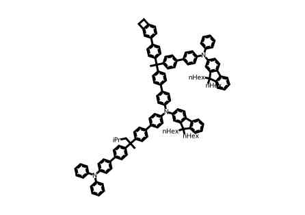 CCCCCCC1(CCCCCC)c2ccccc2-c2ccc(N(c3ccccc3)c3ccc(-c4ccc(C(C)(c5ccc(-c6ccc(N(c7ccc(-c8ccc(C(C)(CC(C)C)c9ccc(-c%10ccc(N(c%11ccccc%11)c%11ccccc%11)cc%10)cc9)cc8)cc7)c7ccc8c(c7)C(CCCCCC)(CCCCCC)c7ccccc7-8)cc6)cc5)c5ccc(-c6ccc7c(c6)CC7)cc5)cc4)cc3)cc21